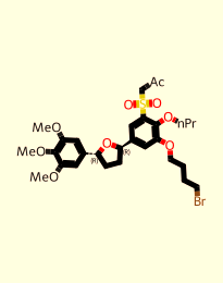 CCCOc1c(OCCCCBr)cc([C@H]2CC[C@H](c3cc(OC)c(OC)c(OC)c3)O2)cc1S(=O)(=O)CC(C)=O